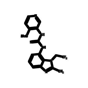 COc1ccncc1NC(=S)Nc1cccc2nc(C)n(CC(F)(F)F)c12